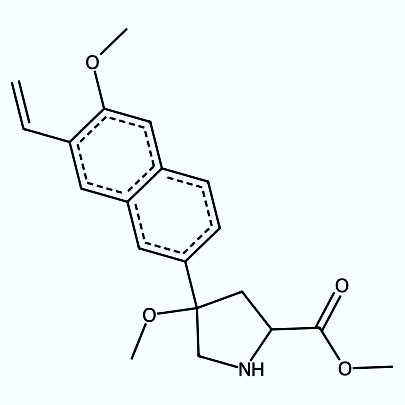 C=Cc1cc2cc(C3(OC)CNC(C(=O)OC)C3)ccc2cc1OC